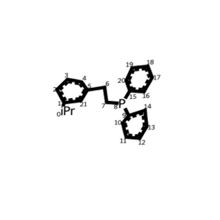 CC(C)c1cccc(CCP(c2ccccc2)c2ccccc2)c1